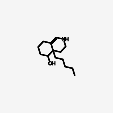 CCCCCC12CCNC=C1CCCC2O